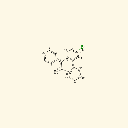 CC/C(=C(\c1ccccc1)c1ccc(Br)cc1)c1ccccc1